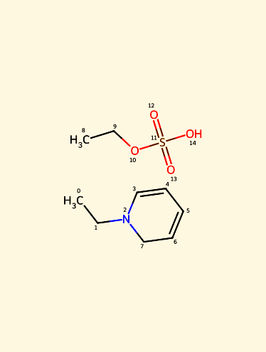 CCN1C=CC=CC1.CCOS(=O)(=O)O